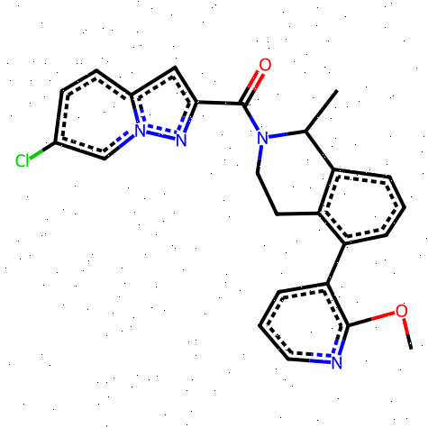 COc1ncccc1-c1cccc2c1CCN(C(=O)c1cc3ccc(Cl)cn3n1)C2C